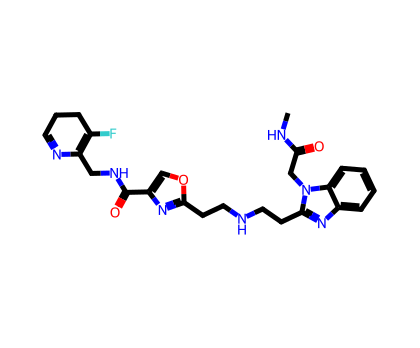 CNC(=O)Cn1c(CCNCCc2nc(C(=O)NCC3=C(F)CCC=N3)co2)nc2ccccc21